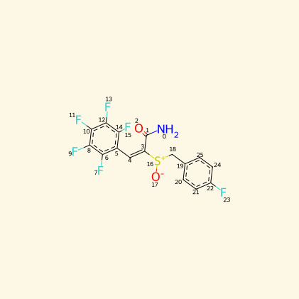 NC(=O)C(=Cc1c(F)c(F)c(F)c(F)c1F)[S+]([O-])Cc1ccc(F)cc1